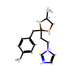 CCCc1ccc(CC2(CCn3ccnc3)SCC(C)S2)cc1